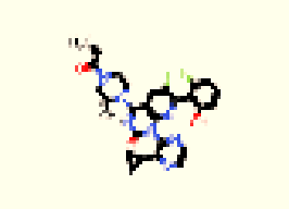 C=CC(=O)N1CCN(c2nc(=O)n(-c3nccnc3C3CC3)c3nc(-c4c(O)cccc4F)c(F)cc23)[C@@H](C)C1